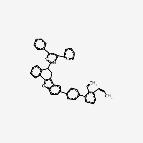 C=Cc1c(/C=C\C)cccc1-c1ccc(-c2ccc3oc4c(c3c2)CC(c2nc(-c3ccccc3)cc(-c3ccccc3)n2)c2ccccc2-4)cc1